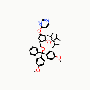 COc1ccc(C(OC[C@H]2C[C@@H](Oc3ccncn3)C[C@@H]2O[Si](C(C)C)(C(C)C)C(C)C)(c2ccccc2)c2ccc(OC)cc2)cc1